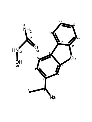 C[CH]([Na])c1ccc2c(c1)oc1ccccc12.NC(=O)NO